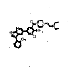 CCN(CC)CCN1CCN(C(=O)c2cc(-c3cnc4[nH]cc(-c5ccccc5OC)c4c3)cc(Cl)c2N)CC1